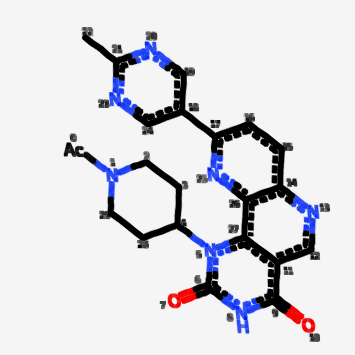 CC(=O)N1CCC(n2c(=O)[nH]c(=O)c3cnc4ccc(-c5cnc(C)nc5)nc4c32)CC1